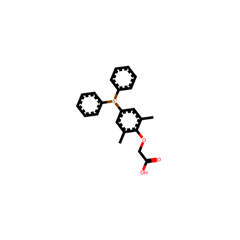 Cc1cc([S+](c2ccccc2)c2ccccc2)cc(C)c1OCC(=O)O